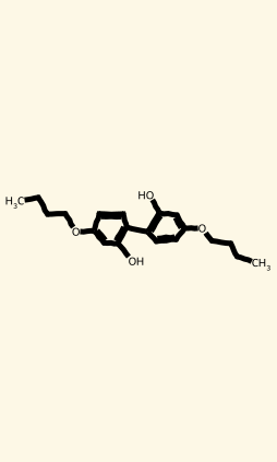 CCCCOc1ccc(-c2ccc(OCCCC)cc2O)c(O)c1